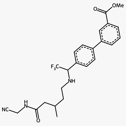 COC(=O)c1cccc(-c2ccc(C(NCCC(C)CC(=O)NCC#N)C(F)(F)F)cc2)c1